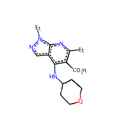 CCc1nc2c(cnn2CC)c(NC2CCOCC2)c1C(=O)O